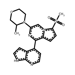 CC1COCCN1c1cn2c(S(C)(=O)=O)ccc2c(-c2ccnc3[nH]ccc23)n1